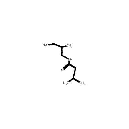 CCC(C)CNC(=O)CC(C)C